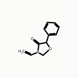 C=CN1COC(c2ccccc2)C1=O